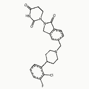 O=C1CCN(N2Cc3cc(CN4CCC(c5cccc(F)c5Cl)CC4)ccc3C2=O)C(=O)N1